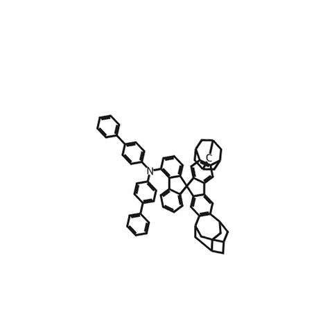 c1ccc(-c2ccc(N(c3ccc(-c4ccccc4)cc3)c3cccc4c3-c3ccccc3C43c4cc5c(cc4-c4cc6c(cc43)C3CC4CC7CC6CC74C3)C3CC4CC(C3)CC5C4)cc2)cc1